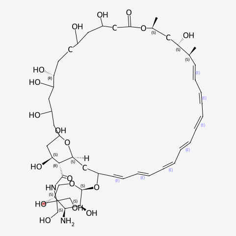 C[C@H]1C[C@H](O)[C@@H](C)/C=C/C=C/C=C/C=C/C=C/C=C/C=C/C(O[C@@H]2OC[C@@H](O)[C@H](N)[C@@H]2O)C[C@@H]2OC(O)(CC(O)CC(O)[C@H](O)CCC(O)CC(O)CC(=O)O1)C[C@H](O)[C@H]2C(=O)NC(C)(CO)CO